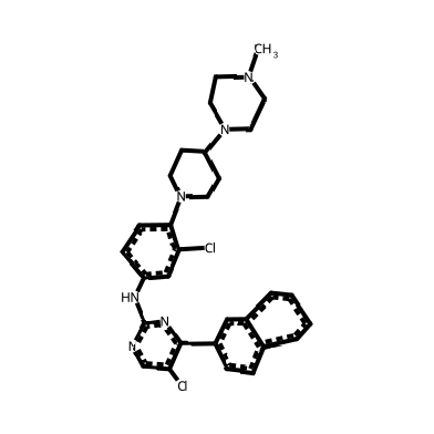 CN1CCN(C2CCN(c3ccc(Nc4ncc(Cl)c(-c5ccc6ccccc6c5)n4)cc3Cl)CC2)CC1